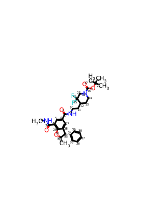 CNC(=O)c1cc(C(=O)NCCC2CCN(C(=O)OC(C)(C)C)CC2(F)F)cc2c1O[C@H](C)[C@H]2c1ccccc1